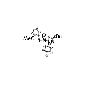 COc1ccccc1CC(=O)Nc1cc(C(C)(C)C)nn1-c1ccc(C)cc1